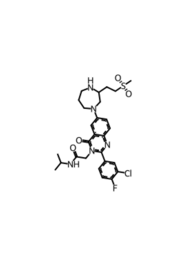 CC(C)NC(=O)Cn1c(-c2ccc(F)c(Cl)c2)nc2ccc(N3CCCNC(CCS(C)(=O)=O)C3)cc2c1=O